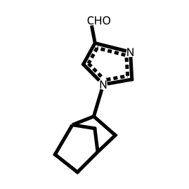 O=Cc1cn(C2CC3CCC2C3)cn1